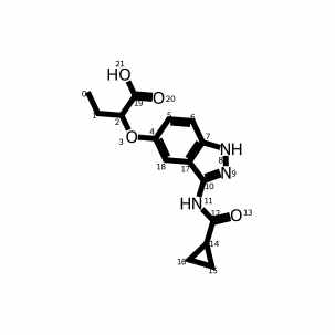 CCC(Oc1ccc2[nH]nc(NC(=O)C3CC3)c2c1)C(=O)O